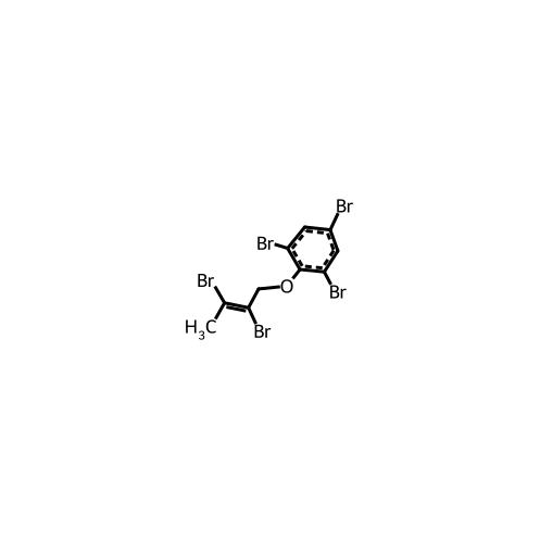 CC(Br)=C(Br)COc1c(Br)cc(Br)cc1Br